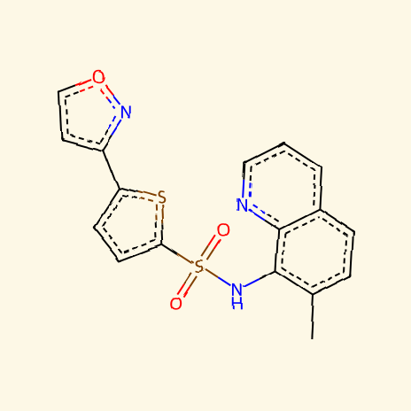 Cc1ccc2cccnc2c1NS(=O)(=O)c1ccc(-c2ccon2)s1